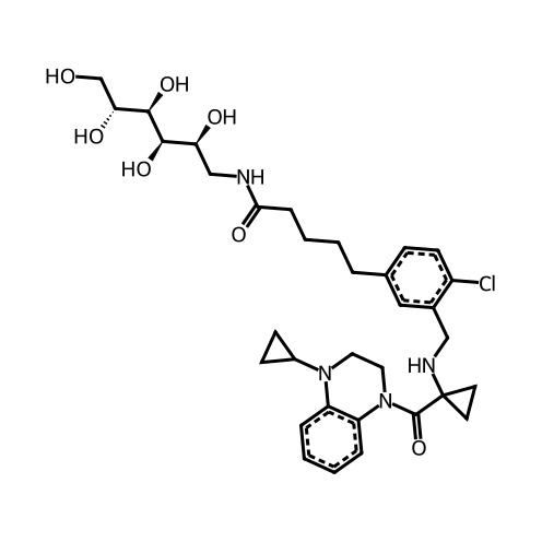 O=C(CCCCc1ccc(Cl)c(CNC2(C(=O)N3CCN(C4CC4)c4ccccc43)CC2)c1)NC[C@H](O)[C@@H](O)[C@H](O)[C@H](O)CO